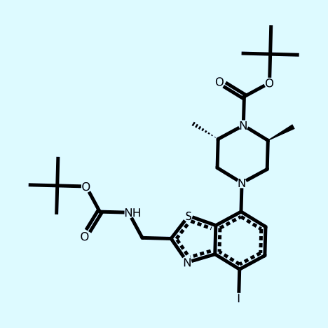 C[C@H]1CN(c2ccc(I)c3nc(CNC(=O)OC(C)(C)C)sc23)C[C@H](C)N1C(=O)OC(C)(C)C